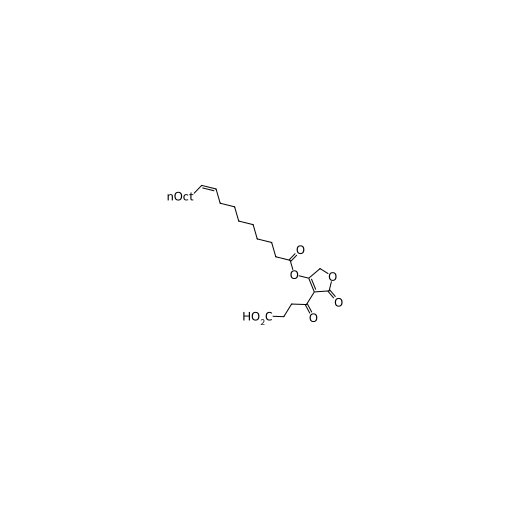 CCCCCCCC/C=C\CCCCCCCC(=O)OC1=C(C(=O)CCC(=O)O)C(=O)OC1